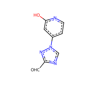 O=Cc1ncn(-c2ccnc(O)c2)n1